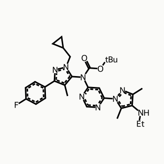 CCNc1c(C)nn(-c2cc(N(C(=O)OC(C)(C)C)c3c(C)c(-c4ccc(F)cc4)nn3CC3CC3)ncn2)c1C